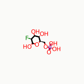 O=P(O)(O)OC[C@H]1OC(O)[C@@H](F)[C@@H](O)[C@@H]1O